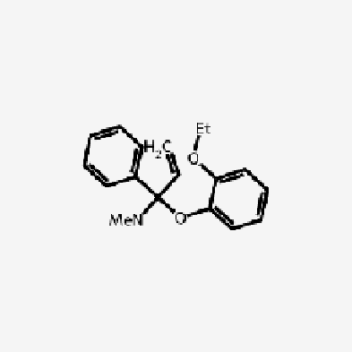 C=CC(NC)(Oc1ccccc1OCC)c1ccccc1